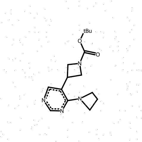 CC(C)(C)OC(=O)N1CC(c2cncnc2N2CCC2)C1